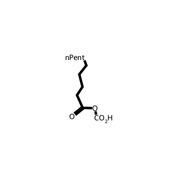 CCCCCCCCCC(=O)OC(=O)O